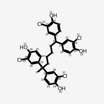 CC(CCCCC(c1ccc(O)c(Cl)c1)c1ccc(O)c(Cl)c1)(c1ccc(O)c(Cl)c1)c1ccc(O)c(Cl)c1